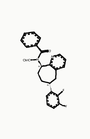 O=CN(C(=O)c1ccccc1)[C@@H]1CC[C@@H](c2cccc(F)c2F)Cc2cccnc21